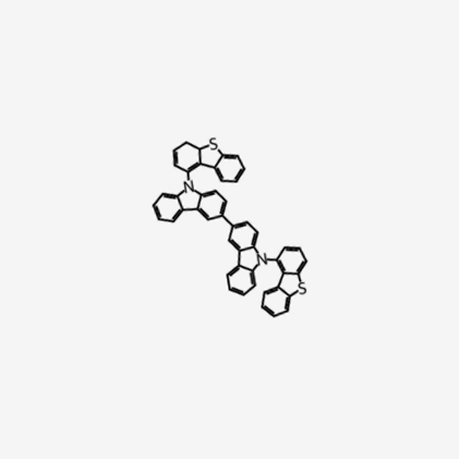 C1=CC(n2c3ccccc3c3cc(-c4ccc5c(c4)c4ccccc4n5-c4cccc5sc6ccccc6c45)ccc32)=C2c3ccccc3SC2C1